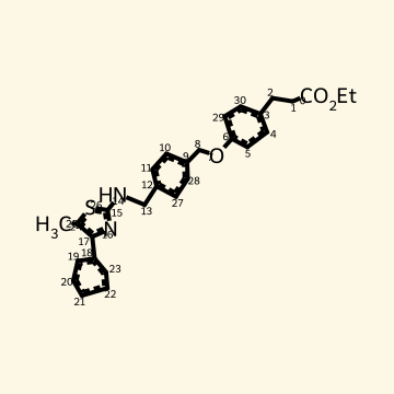 CCOC(=O)CCc1ccc(OCc2ccc(CNc3nc(-c4ccccc4)c(C)s3)cc2)cc1